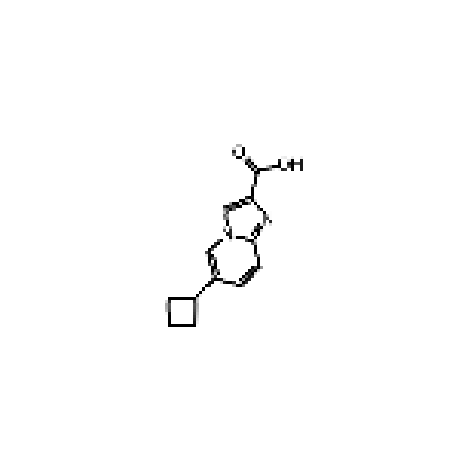 O=C(O)c1cn2cc(C3CCC3)ccc2n1